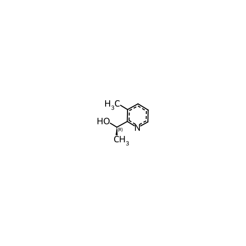 Cc1cccnc1[C@@H](C)O